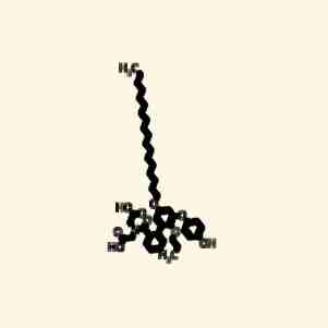 CCCCCCCCCCCCCCCCCCOc1cc(Oc2ccc(O)cc2)c(OCCC)c(-c2ccccc2C(=O)N(CC(=O)O)CC(=O)O)c1